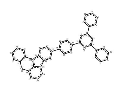 c1ccc(-c2cc(-c3ccccc3)nc(-c3ccc(-c4ccc5c(c4)c4cccc6c4n5-c4ccccc4O6)cc3)n2)cc1